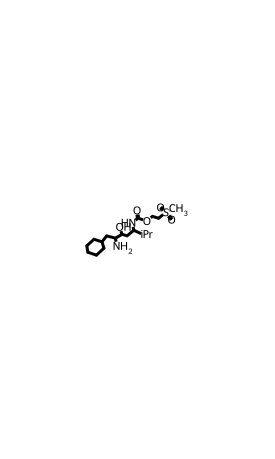 CC(C)C(CC(O)C(N)CC1CCCCC1)NC(=O)OCCS(C)(=O)=O